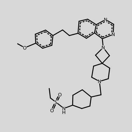 CCS(=O)(=O)NC1CCC(CN2CCC3(CC2)CN(c2ncnc4ccc(CCc5ccc(OC)cc5)cc24)C3)CC1